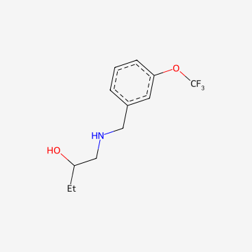 CCC(O)CNCc1cccc(OC(F)(F)F)c1